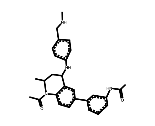 CNCc1ccc(NC2CC(C)N(C(C)=O)c3ccc(-c4cccc(NC(C)=O)c4)cc32)cc1